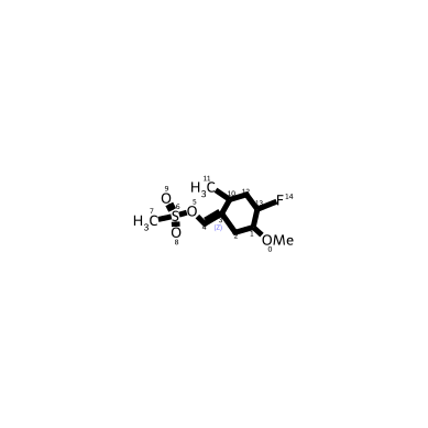 COC1C/C(=C/OS(C)(=O)=O)C(C)CC1F